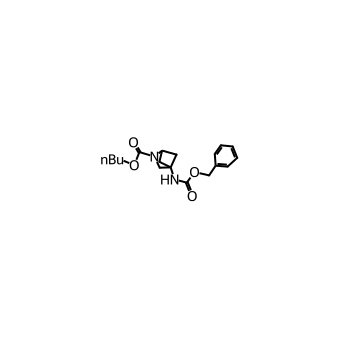 CCCCOC(=O)N1CC2(NC(=O)OCc3ccccc3)CC1C2